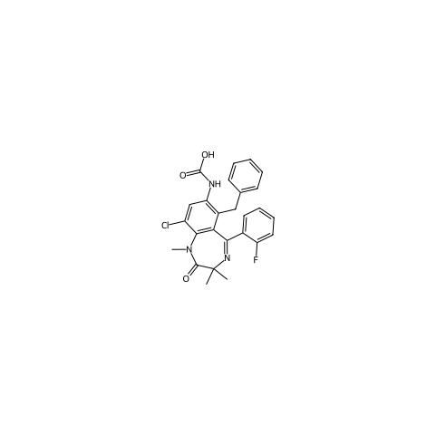 CN1C(=O)C(C)(C)N=C(c2ccccc2F)c2c(Cc3ccccc3)c(NC(=O)O)cc(Cl)c21